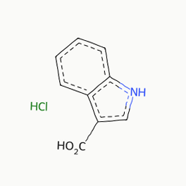 Cl.O=C(O)c1c[nH]c2ccccc12